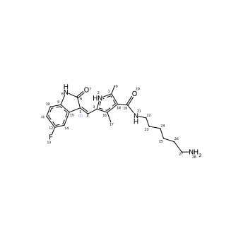 Cc1[nH]c(/C=C2\C(=O)Nc3ccc(F)cc32)c(C)c1C(=O)NCCCCCCN